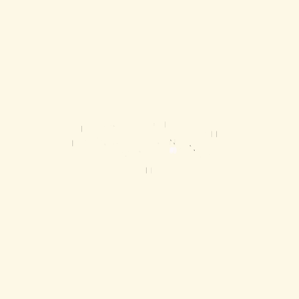 CCN(/C=N/c1cc(C)c(Oc2cccc(C(F)(F)F)c2)cc1C)CC